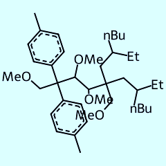 CCCCC(CC)CC(COC)(CC(CC)CCCC)C(OC)C(OC)C(COC)(c1ccc(C)cc1)c1ccc(C)cc1